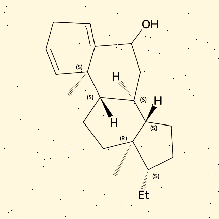 CC[C@H]1CC[C@H]2[C@@H]3CC(O)C4=CCC=C[C@]4(C)[C@H]3CC[C@]12C